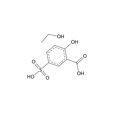 CCO.O=C(O)c1cc(S(=O)(=O)O)ccc1O